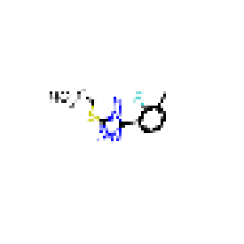 Cc1cccc(-c2nnc(SCC(=O)O)[nH]2)c1F